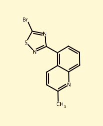 Cc1ccc2c(-c3nsc(Br)n3)cccc2n1